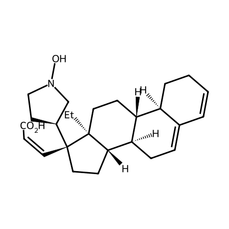 CC[C@]12CC[C@H]3[C@@H](CC=C4C=CCC[C@@H]43)[C@@H]1CC[C@]2(/C=C\C(=O)O)[C@H]1CCN(O)C1